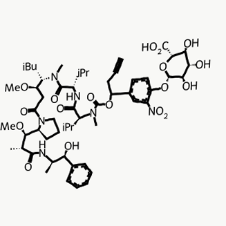 C#CCC(OC(=O)N(C)[C@H](C(=O)N[C@H](C(=O)N(C)[C@@H]([C@@H](C)CC)[C@@H](CC(=O)N1CCC[C@H]1[C@H](OC)[C@@H](C)C(=O)N[C@H](C)[C@@H](O)c1ccccc1)OC)C(C)C)C(C)C)c1ccc(O[C@@H]2O[C@H](C(=O)O)[C@@H](O)[C@H](O)[C@H]2O)c([N+](=O)[O-])c1